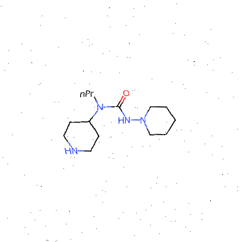 CCCN(C(=O)NN1CCCCC1)C1CCNCC1